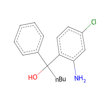 CCCCC(O)(c1ccccc1)c1ccc(Cl)cc1N